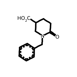 O=C(O)C1CCC(=O)N(Cc2ccccc2)C1